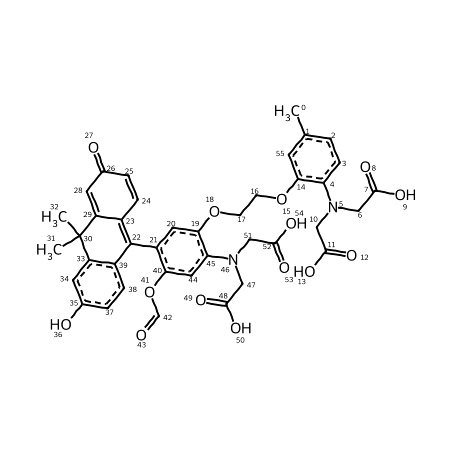 Cc1ccc(N(CC(=O)O)CC(=O)O)c(OCCOc2cc(C3=C4C=CC(=O)C=C4C(C)(C)c4cc(O)ccc43)c(OC=O)cc2N(CC(=O)O)CC(=O)O)c1